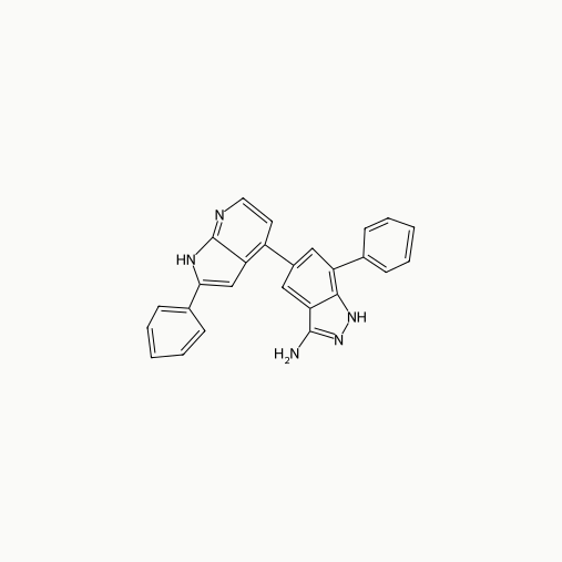 Nc1n[nH]c2c(-c3ccccc3)cc(-c3ccnc4[nH]c(-c5ccccc5)cc34)cc12